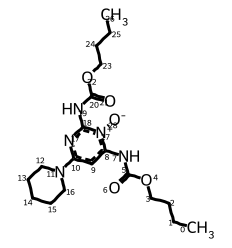 CCCCOC(=O)Nc1cc(N2CCCCC2)nc(NC(=O)OCCCC)[n+]1[O-]